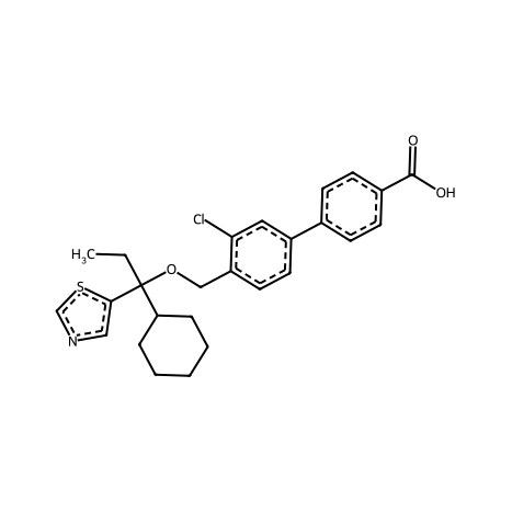 CCC(OCc1ccc(-c2ccc(C(=O)O)cc2)cc1Cl)(c1cncs1)C1CCCCC1